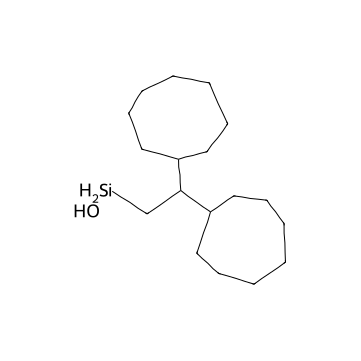 O[SiH2]CC(C1CCCCCCC1)C1CCCCCCC1